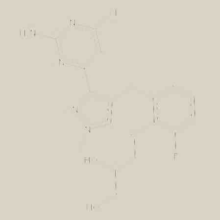 Cn1cc(Cc2cccc(F)c2OCC(O)CO)c(-c2cc(Cl)nc(N)n2)n1